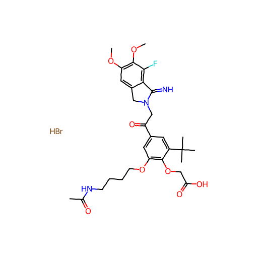 Br.COc1cc2c(c(F)c1OC)C(=N)N(CC(=O)c1cc(OCCCCNC(C)=O)c(OCC(=O)O)c(C(C)(C)C)c1)C2